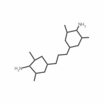 CC1CC(CCCC2CC(C)C(N)C(C)C2)CC(C)C1N